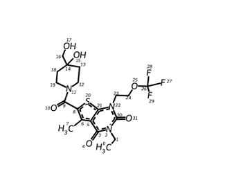 CCn1c(=O)c2c(C)c(C(=O)N3CCC(O)(CO)CC3)sc2n(CCOC(F)(F)F)c1=O